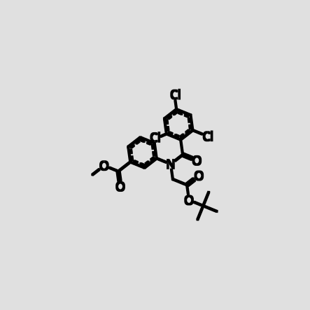 COC(=O)c1cccc(N(CC(=O)OC(C)(C)C)C(=O)c2c(Cl)cc(Cl)cc2Cl)c1